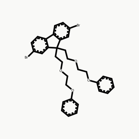 Brc1ccc2c(c1)C(CCOCCOc1ccccc1)(CCOCCOc1ccccc1)c1cc(Br)ccc1-2